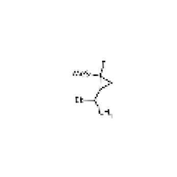 CCC(C)C1CC1(F)SC